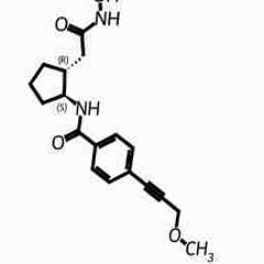 COCC#Cc1ccc(C(=O)N[C@H]2CCC[C@@H]2CC(=O)NO)cc1